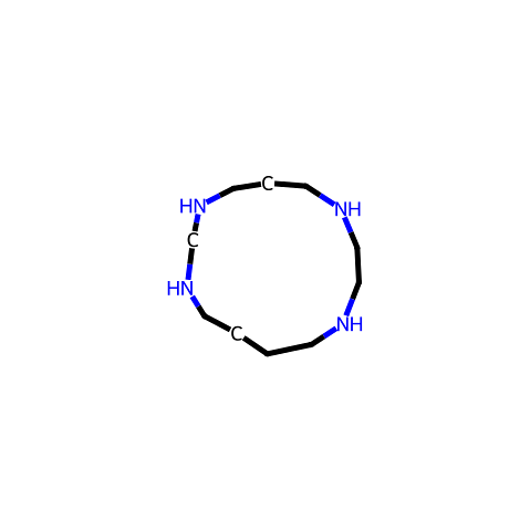 C1CCNCNCCCNCCNC1